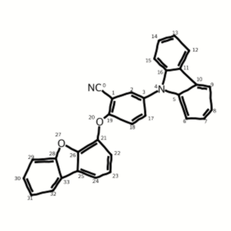 N#Cc1cc(-n2c3ccccc3c3ccccc32)ccc1Oc1cccc2c1oc1ccccc12